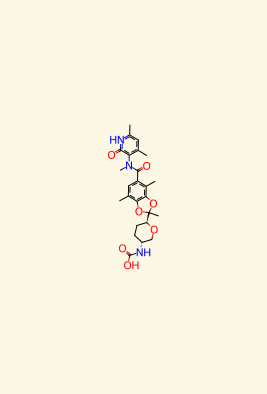 Cc1cc(C)c(N(C)C(=O)c2cc(C)c3c(c2C)OC(C)([C@@H]2CC[C@@H](NC(=O)O)CO2)O3)c(=O)[nH]1